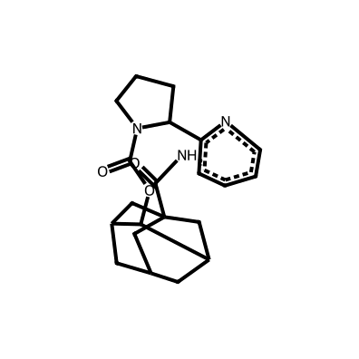 NC(=O)C12CC3CC(C1)C(OC(=O)N1CCCC1c1ccccn1)C(C3)C2